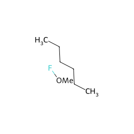 CCCCCC.COF